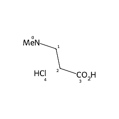 CNCCC(=O)O.Cl